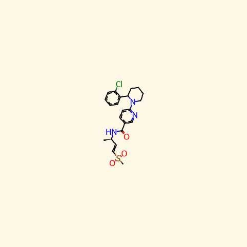 C[C@H](/C=C/S(C)(=O)=O)NC(=O)c1ccc(N2CCCCC2c2ccccc2Cl)nc1